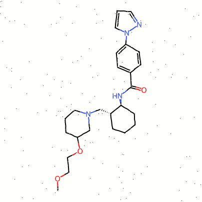 COCCOC1CCCN(C[C@H]2CCCC[C@@H]2NC(=O)c2ccc(-n3cccn3)cc2)C1